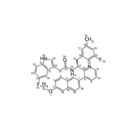 COc1ccc2cc(-c3cccnc3[C@H](Cc3cc(C)cc(F)c3)NC(=O)Cc3c[nH]c4ccc(F)cc34)ccc2c1